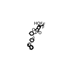 O=C1C2C3CC(C2C(=O)N1C[C@@H]1CCCC[C@H]1CN1CCC(n2ccc4ccccc42)CC1)C(C(F)(F)F)C3O